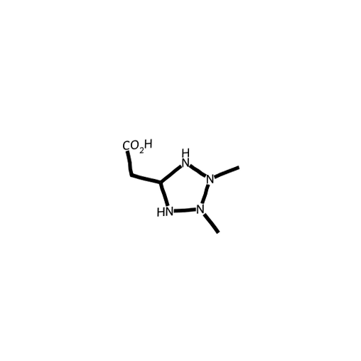 CN1NC(CC(=O)O)NN1C